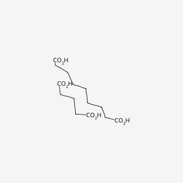 O=C(O)CCCC(=O)O.O=C(O)CCCCCCCC(=O)O